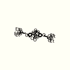 CCO[Si](CCCOc1ccc2c(c1)OC(=O)[C@H]1[C@@H]2[C@H]2C(=O)Oc3cc(OCCC[Si](OCC)(OCC)OCC)ccc3[C@H]21)(OCC)OCC